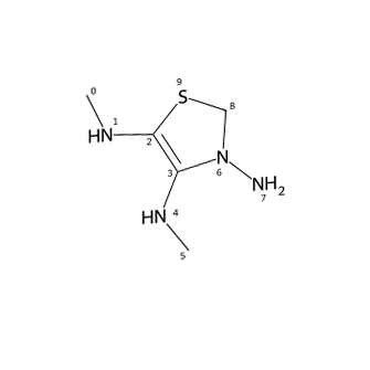 CNC1=C(NC)N(N)CS1